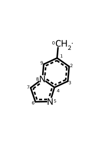 [CH2]c1ccc2nccn2c1